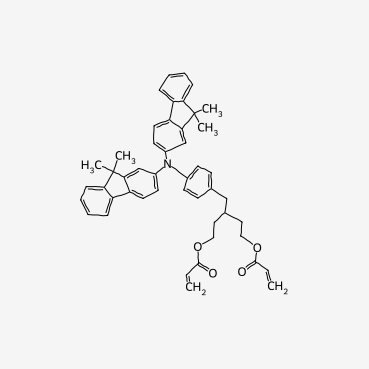 C=CC(=O)OCCC(CCOC(=O)C=C)Cc1ccc(N(c2ccc3c(c2)C(C)(C)c2ccccc2-3)c2ccc3c(c2)C(C)(C)c2ccccc2-3)cc1